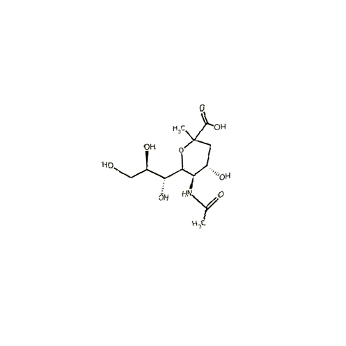 CC(=O)N[C@H]1C([C@H](O)[C@H](O)CO)OC(C)(C(=O)O)C[C@@H]1O